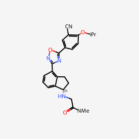 CNC(=O)CN[C@H]1CCc2c(-c3noc(-c4ccc(OC(C)C)c(C#N)c4)n3)cccc21